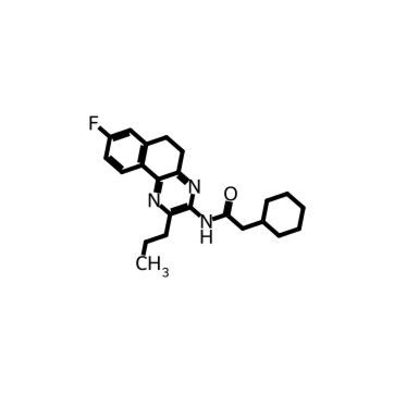 CCCc1nc2c(nc1NC(=O)CC1CCCCC1)CCc1cc(F)ccc1-2